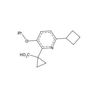 CC(C)Oc1ccc(C2CCC2)nc1C1(C(=O)O)CC1